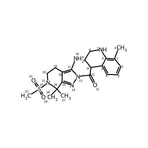 Cc1cccc2c1NCCC2C(=O)n1nc2c(c1N)CCN(S(C)(=O)=O)C2(C)C